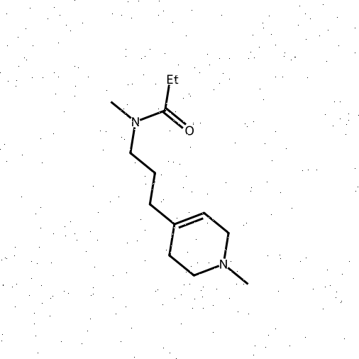 CCC(=O)N(C)CCCC1=CCN(C)CC1